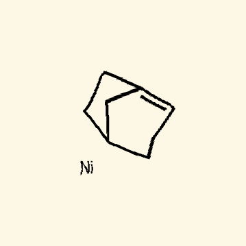 C1=C2CCC(C1)C2.[Ni]